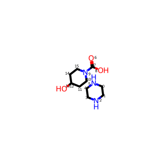 C1CNCCN1.O=C(O)N1CCC(O)CC1